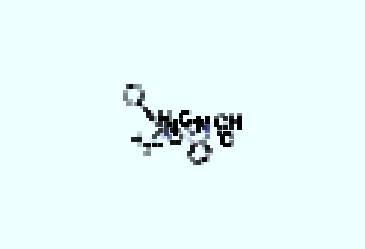 CO/N=C(/C(=O)O)c1ccccc1CO/N=C(\C)C#Cc1ccccc1